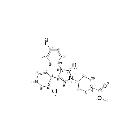 COC(=O)N1CCC(n2nc(-c3ccncc3Cl)n(-c3ccc(F)cc3)c2=O)CC1